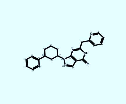 O=c1[nH]c(Cc2ccccn2)nc2c1cnn2C1CCCC(c2ccccc2)C1